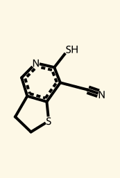 N#Cc1c(S)ncc2c1SCC2